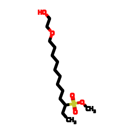 CCC(CCCCCCCCCOCCO)S(=O)(=O)OC